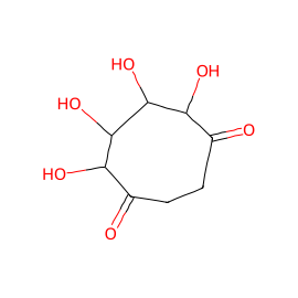 O=C1CCC(=O)C(O)C(O)C(O)C1O